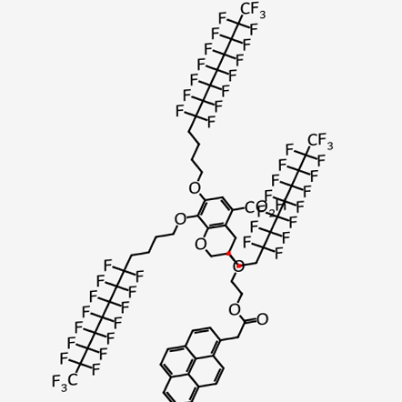 O=C(Cc1ccc2ccc3cccc4ccc1c2c34)OCCOCCc1c(C(=O)O)cc(OCCCCC(F)(F)C(F)(F)C(F)(F)C(F)(F)C(F)(F)C(F)(F)C(F)(F)C(F)(F)F)c(OCCCCC(F)(F)C(F)(F)C(F)(F)C(F)(F)C(F)(F)C(F)(F)C(F)(F)C(F)(F)F)c1OCCCCC(F)(F)C(F)(F)C(F)(F)C(F)(F)C(F)(F)C(F)(F)C(F)(F)C(F)(F)F